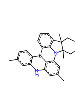 Cc1ccc2c(c1)Nc1cc(C)cc3c1B2c1cccc2c1N3C1(C)CCCCC21C